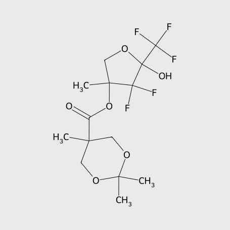 CC1(C)OCC(C)(C(=O)OC2(C)COC(O)(C(F)(F)F)C2(F)F)CO1